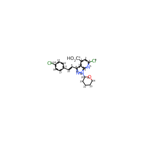 O=C(O)c1cc(Cl)nc2c1c(/C=C/c1ccc(Cl)cc1)nn2C1CCCCO1